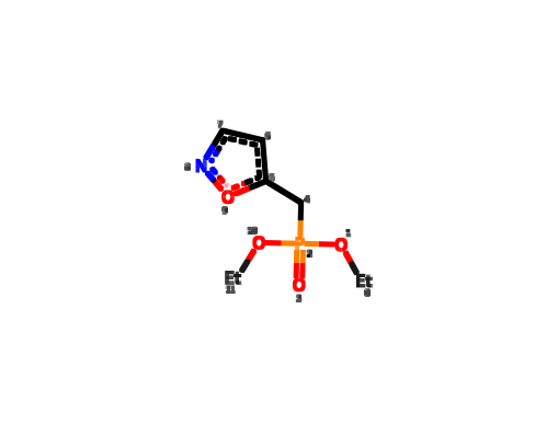 CCOP(=O)(Cc1ccno1)OCC